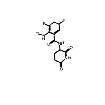 CCNC1=C(F)CC(F)C=C1C(=O)NC1CCC(=O)NC1=O